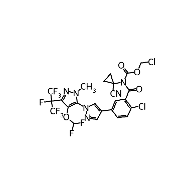 Cn1nc(C(F)(C(F)(F)F)C(F)(F)F)c(OC(F)F)c1-n1cc(-c2ccc(Cl)c(C(=O)N(C(=O)OCCl)C3(C#N)CC3)c2)cn1